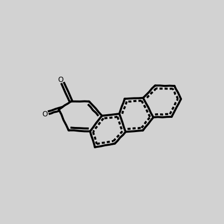 O=C1C=c2ccc3cc4ccccc4cc3c2=CC1=O